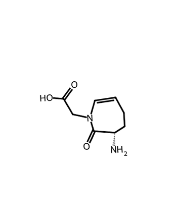 N[C@H]1CCC=CN(CC(=O)O)C1=O